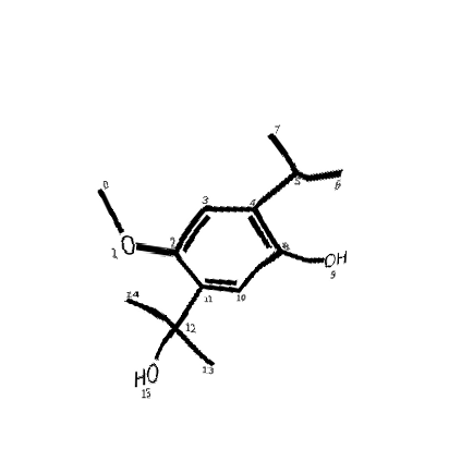 COc1cc(C(C)C)c(O)cc1C(C)(C)O